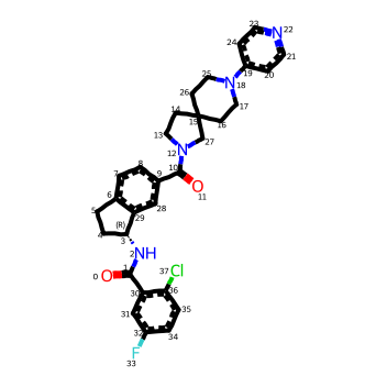 O=C(N[C@@H]1CCc2ccc(C(=O)N3CCC4(CCN(c5ccncc5)CC4)C3)cc21)c1cc(F)ccc1Cl